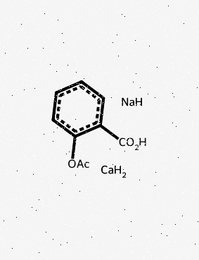 CC(=O)Oc1ccccc1C(=O)O.[CaH2].[NaH]